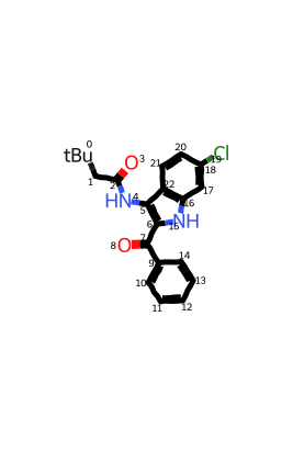 CC(C)(C)CC(=O)Nc1c(C(=O)c2ccccc2)[nH]c2cc(Cl)ccc12